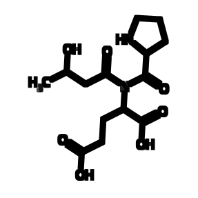 CC(O)CC(=O)N(C(=O)C1CCCN1)C(CCC(=O)O)C(=O)O